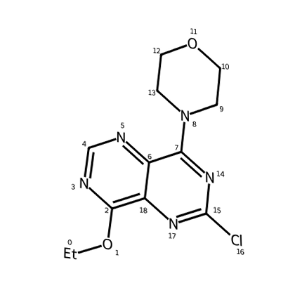 CCOc1ncnc2c(N3CCOCC3)nc(Cl)nc12